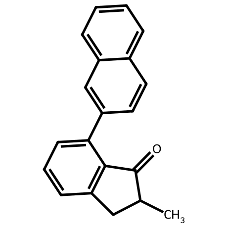 CC1Cc2cccc(-c3ccc4ccccc4c3)c2C1=O